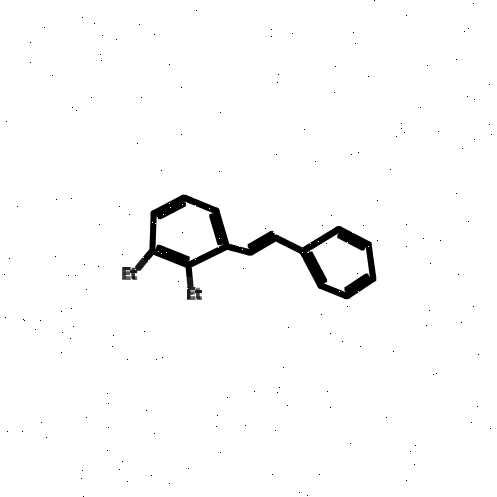 CCc1cccc(/C=C/c2ccccc2)c1CC